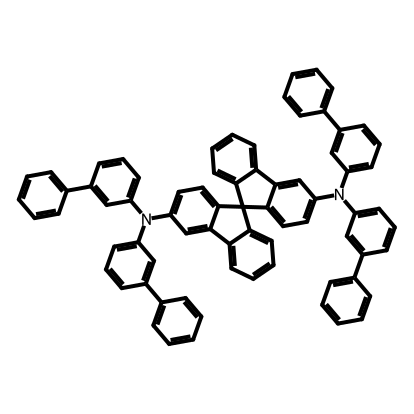 c1ccc(-c2cccc(N(c3cccc(-c4ccccc4)c3)c3ccc4c(c3)-c3ccccc3C43c4ccccc4-c4cc(N(c5cccc(-c6ccccc6)c5)c5cccc(-c6ccccc6)c5)ccc43)c2)cc1